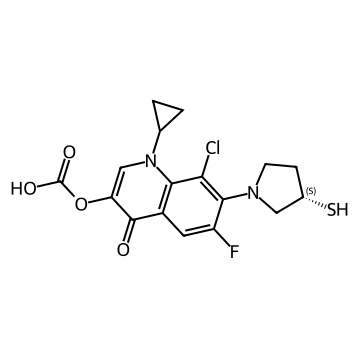 O=C(O)Oc1cn(C2CC2)c2c(Cl)c(N3CC[C@H](S)C3)c(F)cc2c1=O